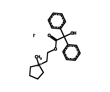 C[N+]1(CCOC(=O)C(O)(c2ccccc2)c2ccccc2)CCCC1.[I-]